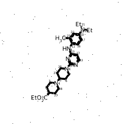 CCOC(=O)C1CCN(C2CCN(c3nccc(Nc4ccc(N(CC)CC)cc4C)n3)CC2)CC1